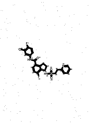 O=C(Nc1ccc(F)c(Cl)c1)c1ccc(F)c2c1CC[C@@H]2NS(=O)(=O)CCc1ccccn1